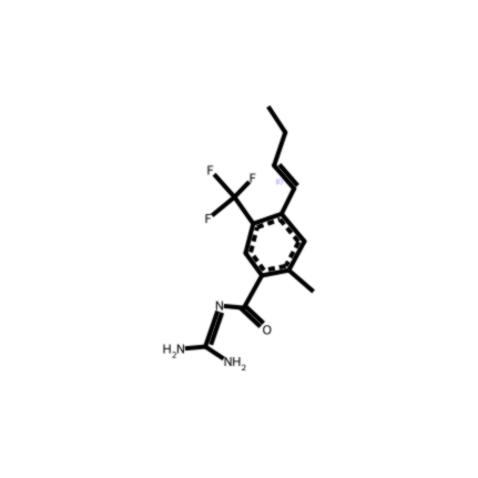 CC/C=C/c1cc(C)c(C(=O)N=C(N)N)cc1C(F)(F)F